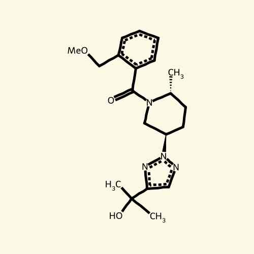 COCc1ccccc1C(=O)N1C[C@H](n2ncc(C(C)(C)O)n2)CC[C@H]1C